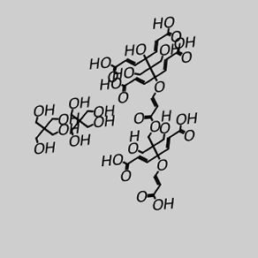 O=C(O)C=COC(C=CC(=O)O)(C=CC(=O)O)C(CO)(CO)COC(=O)C=COC(C=CC(=O)O)(C=CC(=O)O)C(CO)(CO)C(O)(C=CC(=O)O)C=CC(=O)O.OCC(CO)(CO)CO.OCC(CO)(CO)CO